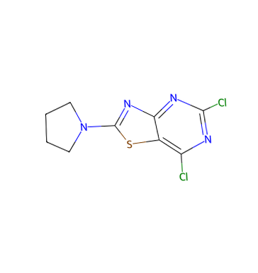 Clc1nc(Cl)c2sc(N3CCCC3)nc2n1